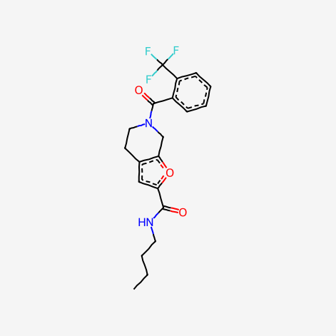 CCCCNC(=O)c1cc2c(o1)CN(C(=O)c1ccccc1C(F)(F)F)CC2